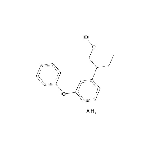 CCC(COO)c1cccc(Oc2ccccc2)c1.[AlH3]